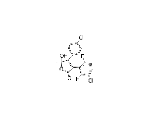 CC1(O)OC(=O)C(c2c(F)ccc(Cl)c2F)=C1c1ccc(Cl)cc1